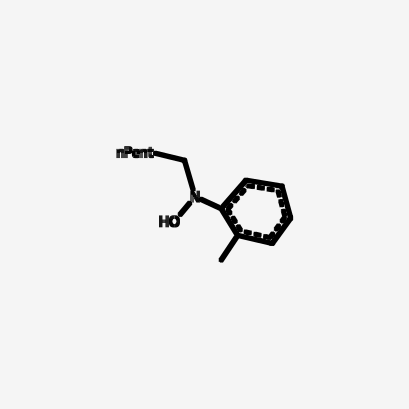 CCCCCCN(O)c1ccccc1C